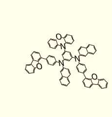 c1ccc2c(c1)Oc1ccccc1N2c1cc(N(c2ccc(-c3cccc4c3oc3ccccc34)cc2)c2ccc3ccccc3c2)cc(N(c2ccc(-c3cccc4c3oc3ccccc34)cc2)c2ccc3ccccc3c2)c1